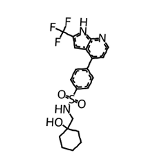 O=S(=O)(NCC1(O)CCCCC1)c1ccc(-c2ccnc3[nH]c(C(F)(F)F)cc23)cc1